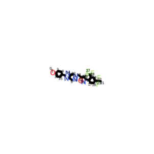 COc1ccc(-c2nc3cnn(Cc4cc(-c5ccc(C(C)(F)F)cc5C(F)(F)F)no4)cc-3n2)cc1